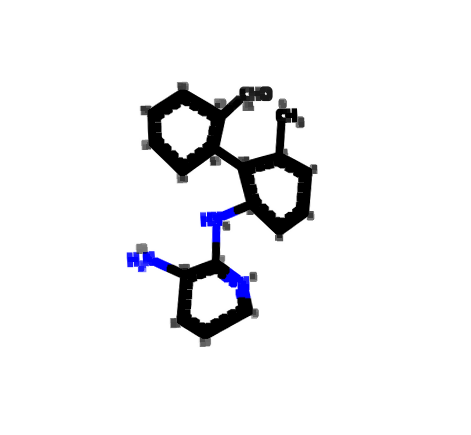 Cc1cccc(Nc2ncccc2N)c1-c1ccccc1C=O